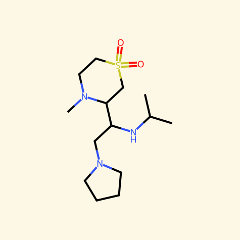 CC(C)NC(CN1CCCC1)C1CS(=O)(=O)CCN1C